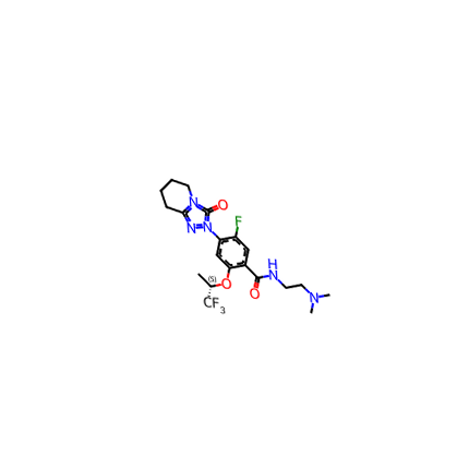 C[C@H](Oc1cc(-n2nc3n(c2=O)CCCC3)c(F)cc1C(=O)NCCN(C)C)C(F)(F)F